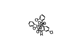 O=S(=O)(Nc1cc(Cl)ccc1NS(=O)(=O)c1ccccc1Cl)c1cc2ccccc2o1